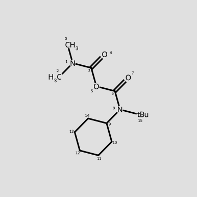 CN(C)C(=O)OC(=O)N(C1CCCCC1)C(C)(C)C